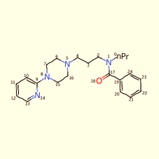 CCCN(CCCN1CCN(c2ccccn2)CC1)C(=O)c1ccccc1